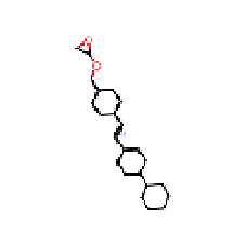 C(=C\C1CCC(C2CCCCC2)CC1)/C1CCC(COC2CO2)CC1